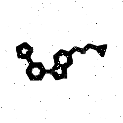 c1cc(-c2cccs2)cc(-n2cnc3cc(COCC4CC4)ccc32)c1